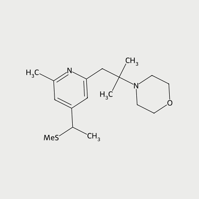 CSC(C)c1cc(C)nc(CC(C)(C)N2CCOCC2)c1